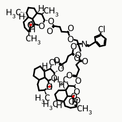 C[C@H]1[C@H](OC(=O)CCC(=O)OC(COC(=O)CCC(=O)O[C@@H]2O[C@@H]3O[C@@]4(C)CC[C@H]5[C@H](C)CC[C@@H]([C@H]2C)[C@@]35OO4)(COC(=O)CCC(=O)O[C@@H]2O[C@@H]3O[C@@]4(C)CC[C@H]5[C@H](C)CC[C@@H]([C@H]2C)[C@@]35OO4)/N=C/c2cccc(Cl)c2)O[C@@H]2O[C@@H](C)CCC3CCC[C@@H]1C32